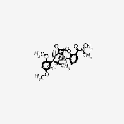 COc1ccc(OC)c(C(Nc2c(Nc3cccc(C(=O)N(C)C)c3O)c(=O)c2=O)C(C)(C)C)c1